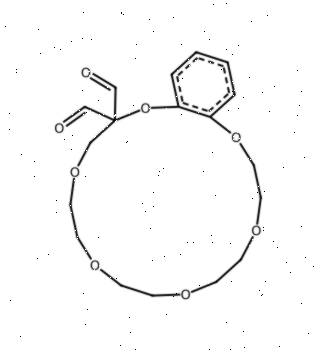 O=CC1(C=O)COCCOCCOCCOCCOc2ccccc2O1